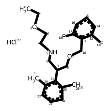 CCOCCNCC(COCc1c(F)cccc1F)c1c(C)cccc1C.Cl